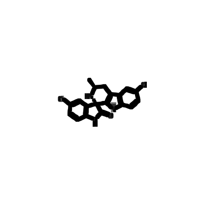 C[C@H]1Cc2c([nH]c3ccc(Cl)cc23)[C@@]2(N1)C(=O)Nc1ccc(Cl)cc12